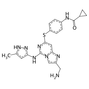 Cc1cc(Nc2nc(Sc3ccc(NC(=O)C4CC4)cc3)cc3nc(CN)cn23)n[nH]1